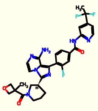 CC1(C(=O)N2CCC[C@@H](c3nc(-c4ccc(C(=O)Nc5cc(C(C)(F)F)ccn5)cc4F)c4c(N)nccn34)C2)COC1